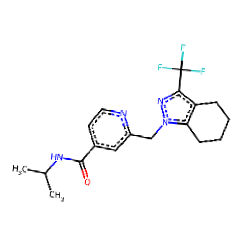 CC(C)NC(=O)c1ccnc(Cn2nc(C(F)(F)F)c3c2CCCC3)c1